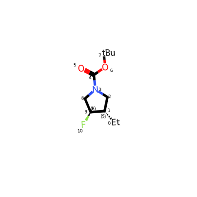 CC[C@H]1CN(C(=O)OC(C)(C)C)C[C@@H]1F